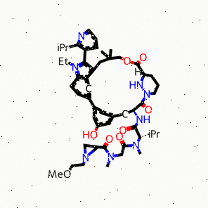 CCn1c(-c2cccnc2C(C)C)c2c3cc(ccc31)-c1cc(O)cc(c1)C[C@H](NC(=O)[C@H](C(C)C)N(C)C(=O)CN(C)C(=O)C1CN1CCOC)C(=O)N1CCC[C@H](N1)C(=O)OCC(C)(C)C2